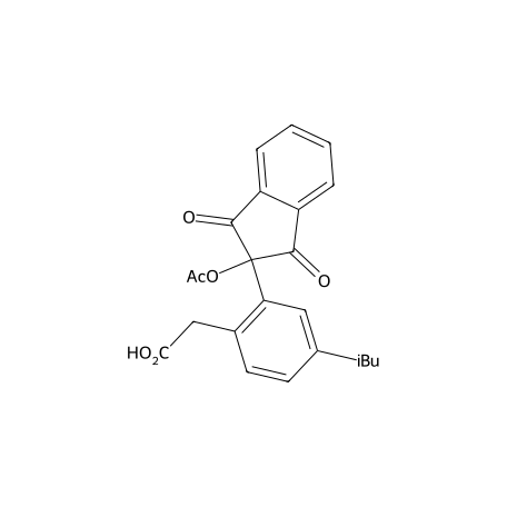 CCC(C)c1ccc(CC(=O)O)c(C2(OC(C)=O)C(=O)c3ccccc3C2=O)c1